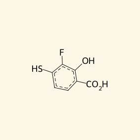 O=C(O)c1ccc(S)c(F)c1O